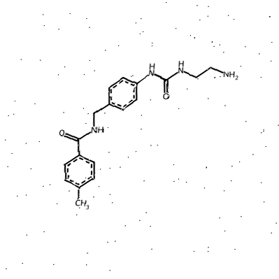 Cc1ccc(C(=O)NCc2ccc(NC(=O)NCCN)cc2)cc1